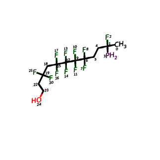 CC(F)(P)CCC(F)(F)C(F)(F)C(F)(F)C(F)(F)CC(F)(F)CCO